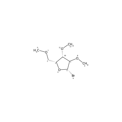 COC[C@H]1O[C@@H](Br)C(OC)[C@H]1OC